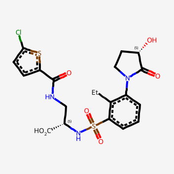 CCc1c(N2CC[C@H](O)C2=O)cccc1S(=O)(=O)N[C@@H](CNC(=O)c1ccc(Cl)s1)C(=O)O